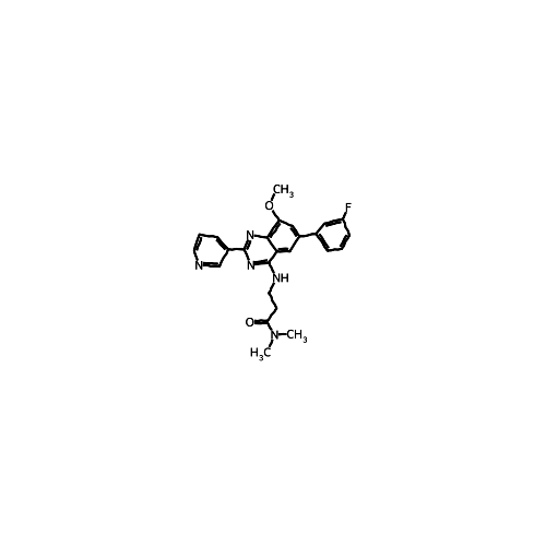 COc1cc(-c2cccc(F)c2)cc2c(NCCC(=O)N(C)C)nc(-c3cccnc3)nc12